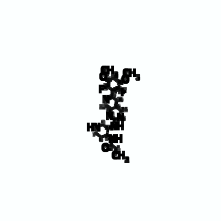 C=CC(=O)N[C@H]1CCNC[C@H]1Nc1ncc2cc(-c3c(F)c(OC)cc(OC)c3F)ncc2n1